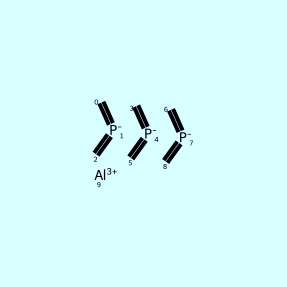 C=[P-]=C.C=[P-]=C.C=[P-]=C.[Al+3]